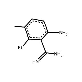 CCc1c(C)ccc(N)c1C(=N)N